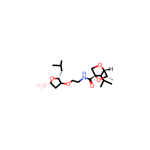 B[C@H]1CC(OCCNC(=O)[C@@]23CO[C@@H](C2C(C)C)[C@H](C)O3)[C@@H](CC(C)C)O1